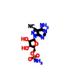 N#Cc1nn([C@@H]2O[C@H](COS(N)(=O)=O)[C@H](O)[C@H]2O)c2ncnc(N)c12